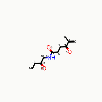 C=C(C)C(=O)CCC(=O)NCC(=O)CC